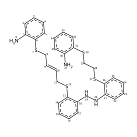 Nc1ccccc1SCC=CCSc1ccccc1NNc1ccccc1SCCSc1ccccc1N